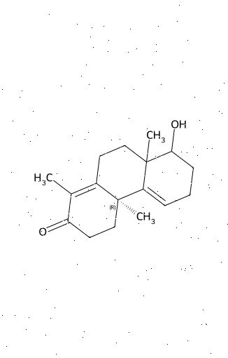 CC1=C2CCC3(C)C(=CCCC3O)[C@@]2(C)CCC1=O